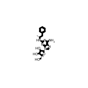 C[C@H](Cc1ccccc1)Nc1nc(N)c2ncn([C@@H]3O[C@H](CO)C(O)C3O)c2n1